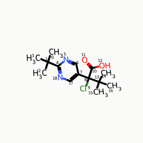 CC(C)(C)c1ncc(C(Cl)(C(=O)O)C(C)(C)C)cn1